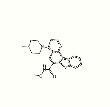 CONC(=O)c1cc2c(N3CCN(C)CC3)ccnc2n2c1nc1ccccc12